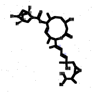 CCC(O)C(C)C1OC1CC(C)(O)/C=C/C=C(\C)C1OC(=O)CC(O)CCC(C)C(OC(=O)N2C[C@@H]3C[C@H]2CN3C(C)C)/C=C/C1C